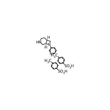 Cc1ccc(S(=O)(=O)O)cc1.Cc1ccc(S(=O)(=O)O)cc1.c1cncc(N2C[C@@H]3CCNC[C@@H]32)c1